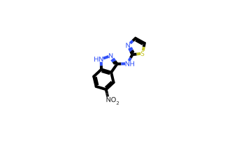 O=[N+]([O-])c1ccc2[nH]nc(Nc3nccs3)c2c1